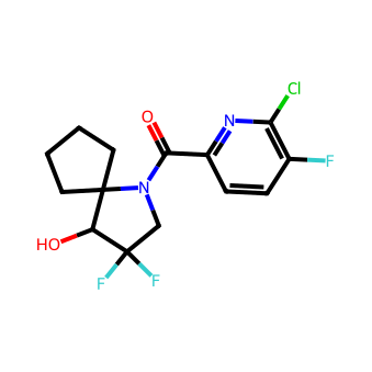 O=C(c1ccc(F)c(Cl)n1)N1CC(F)(F)C(O)C12CCCC2